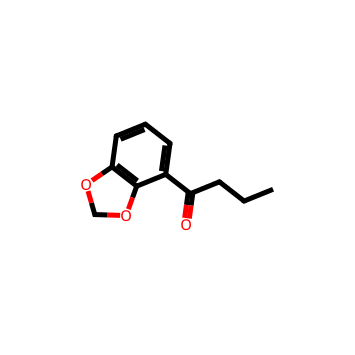 CCCC(=O)c1cccc2c1OCO2